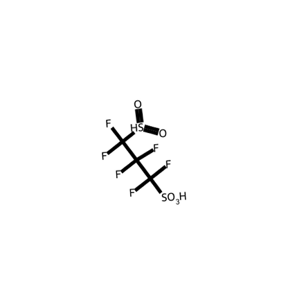 O=[SH](=O)C(F)(F)C(F)(F)C(F)(F)S(=O)(=O)O